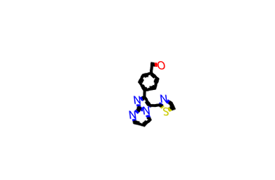 O=Cc1ccc(-c2nc3ncccn3c2-c2nccs2)cc1